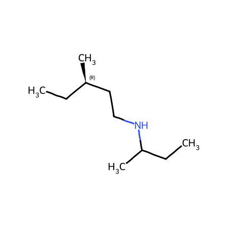 CCC(C)NCC[C@H](C)CC